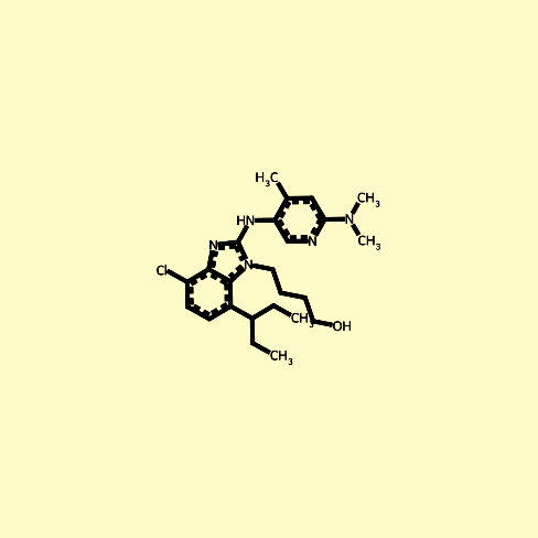 CCC(CC)c1ccc(Cl)c2nc(Nc3cnc(N(C)C)cc3C)n(CCCCO)c12